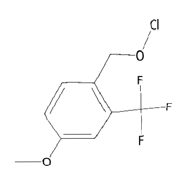 COc1ccc(COCl)c(C(F)(F)F)c1